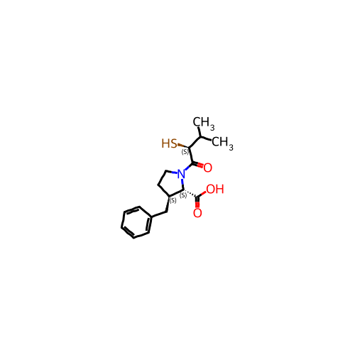 CC(C)[C@H](S)C(=O)N1CC[C@H](Cc2ccccc2)[C@H]1C(=O)O